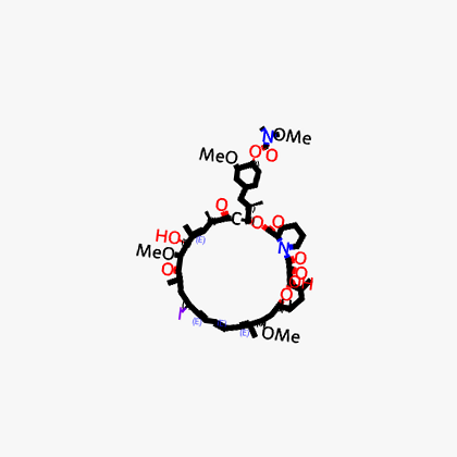 COC1C(=O)C(C)C[C@H](I)/C=C/C=C/C=C(\C)[C@@H](OC)C[C@@H]2CCC(C)C(O)(O2)C(=O)C(=O)N2CCCCC2C(=O)O[C@H]([C@H](C)CC2CC[C@@H](OC(=O)N(C)OC)C(OC)C2)CC(=O)[C@H](C)/C=C(\C)[C@H]1O